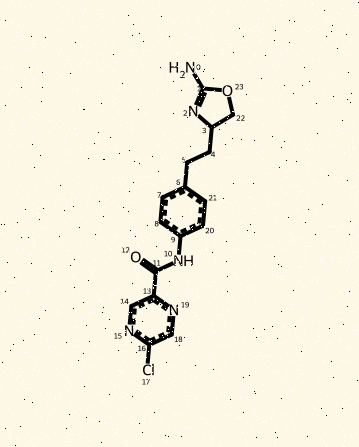 NC1=NC(CCc2ccc(NC(=O)c3cnc(Cl)cn3)cc2)CO1